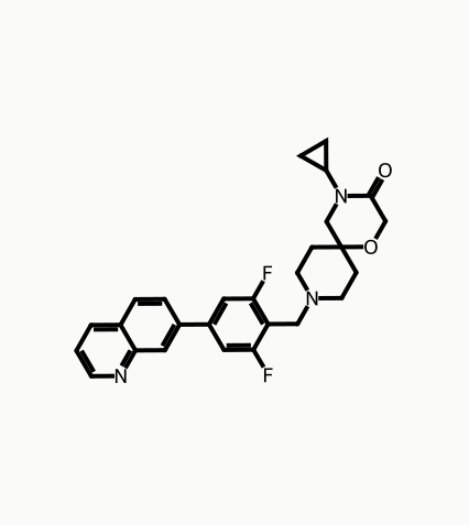 O=C1COC2(CCN(Cc3c(F)cc(-c4ccc5cccnc5c4)cc3F)CC2)CN1C1CC1